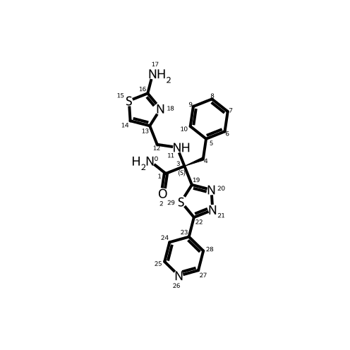 NC(=O)[C@](Cc1ccccc1)(NCc1csc(N)n1)c1nnc(-c2ccncc2)s1